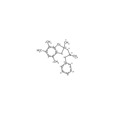 Cc1cc(C)c2c(c1C)OC(C)(CN(C)Cc1ccccc1)C2